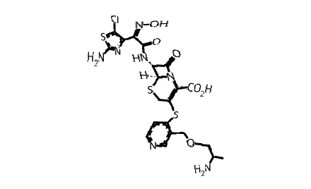 CC(N)COCc1cnccc1SC1=C(C(=O)O)N2C(=O)[C@@H](NC(=O)/C(=N\O)c3nc(N)sc3Cl)[C@@H]2SC1